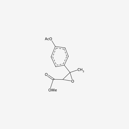 COC(=O)C1OC1(C)c1ccc(OC(C)=O)cc1